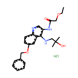 CCOCC(=O)Nc1cnc2ccc(OCc3ccccc3)cc2c1NCC(C)(C)O.Cl